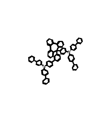 c1ccc(-c2ccc(N(c3ccc(-c4ccccc4)cc3)c3ccc(-c4cccc(C5(c6ccc(N(c7ccc(-c8ccccc8)cc7)c7ccc(-c8ccccc8)cc7)cc6)c6ccccc6-c6ccccc6-c6ccccc65)c4)cc3)cc2)cc1